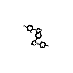 Fc1ccc(-n2nccc2-c2ccc3ncn(-c4ccc(F)cc4F)c3c2)cc1